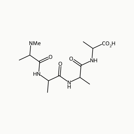 CNC(C)C(=O)NC(C)C(=O)NC(C)C(=O)NC(C)C(=O)O